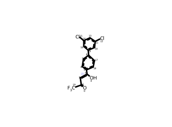 O=C(/C=C(\O)c1ccc(-c2cc(Cl)cc(Cl)c2)cc1)C(F)(F)F